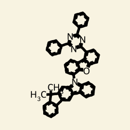 CC1(C)c2ccccc2-c2cc3c4ccccc4n(-c4cccc5c4oc4cccc(-c6nc(-c7ccccc7)nc(-c7ccccc7)n6)c45)c3cc21